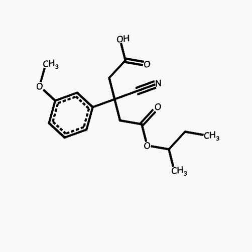 CCC(C)OC(=O)CC(C#N)(CC(=O)O)c1cccc(OC)c1